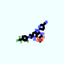 CS(=O)(=O)CC(=O)Nc1c2c(nn1-c1ccc(C#N)cn1)CC1(CN(c3ccc(C(F)(F)F)cc3F)C1)NC2=O